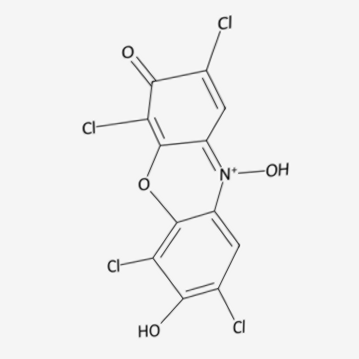 O=c1c(Cl)cc2[n+](O)c3cc(Cl)c(O)c(Cl)c3oc-2c1Cl